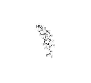 C=C(C)CCC1CCC2C3CC=C4C[C@H](O)CC[C@]4(C)C3CC[C@]12C